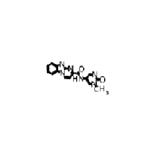 Cn1cc(NC(=O)c2ccn3c(n2)nc2ccccc23)cnc1=O